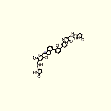 COc1nc(/C=C2\CCc3c2cccc3-c2cccc(-c3ccn4c(=O)c(CNC[C@@H]5CCC(=O)N5)cnc4c3)c2Cl)c(Cl)cc1CNC[C@@H]1CCC(=O)N1